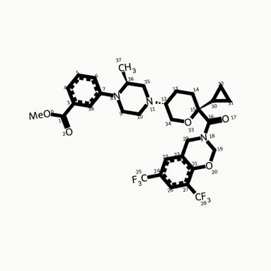 COC(=O)c1cccc(N2CCN([C@@H]3CC[C@@](C(=O)N4COc5c(cc(C(F)(F)F)cc5C(F)(F)F)C4)(C4CC4)OC3)C[C@@H]2C)c1